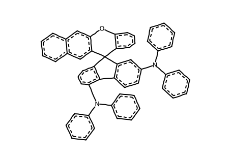 c1ccc(N(c2ccccc2)c2ccc3c(c2)C2(c4ccccc4Oc4cc5ccccc5cc42)c2cccc(N(c4ccccc4)c4ccccc4)c2-3)cc1